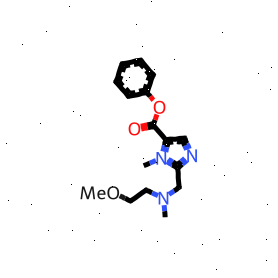 COCCN(C)Cc1ncc(C(=O)Oc2ccccc2)n1C